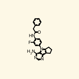 Nc1ncnc2c3c(n(-c4ccc(NC(=O)Cc5ccccc5)c(F)c4)c12)CCC3